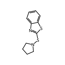 c1ccc2sc(SN3CCCC3)nc2c1